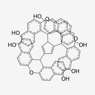 Oc1ccc2c3c(ccc2c1)Oc1ccc2cc(O)ccc2c1C3C1=CC(C2c3c(ccc4cc(O)ccc34)Oc3ccc4cc(O)ccc4c32)C(C2c3c(ccc4cc(O)ccc34)Oc3ccc4cc(O)ccc4c32)=C1